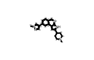 CN1CCC(c2cc3c(ncc4ccc(-c5cnn(C)c5)cc43)[nH]2)CC1